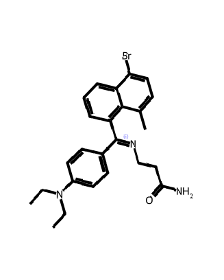 CCN(CC)c1ccc(/C(=N\CCC(N)=O)c2cccc3c(Br)ccc(C)c23)cc1